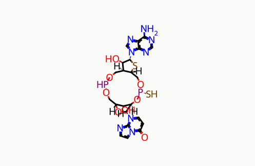 Nc1ncnc2c1ncn2[C@@H]1S[C@@H]2CO[P@](S)O[C@@H]3[C@H](O)[C@@H](COPOC[C@H]2[C@H]1O)O[C@H]3n1ccc(=O)n2ccnc12